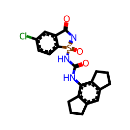 O=C(Nc1c2c(cc3c1CCC3)CCC2)NS1(=O)=NC(=O)c2cc(Cl)ccc21